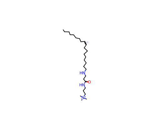 CCCCCCCC/C=C\CCCCCCCCNCCC(=O)NCCC[N+](C)(C)C